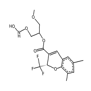 COCC(CONO)OC(=O)C1=Cc2cc(C)cc(C)c2O[C@@H]1C(F)(F)F